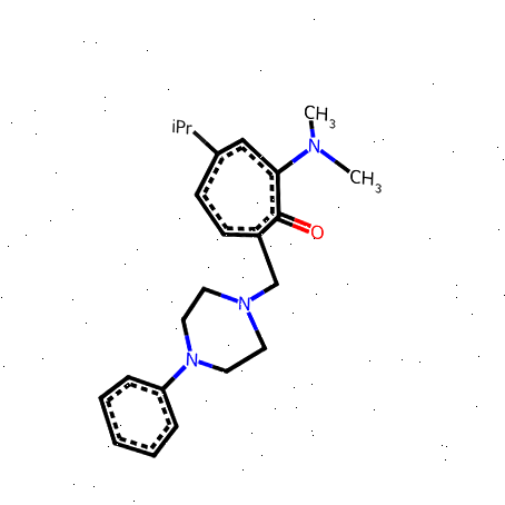 CC(C)c1ccc(CN2CCN(c3ccccc3)CC2)c(=O)c(N(C)C)c1